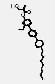 C=C(CO)C(=O)Oc1ccc(-c2ccc(C3CCC(CCCCCCCCC)CC3)cc2)c(CC)c1